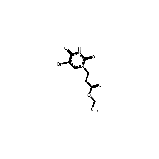 CCOC(=O)CCn1cc(Br)c(=O)[nH]c1=O